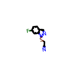 N#CCSn1ncc2ccc(F)cc21